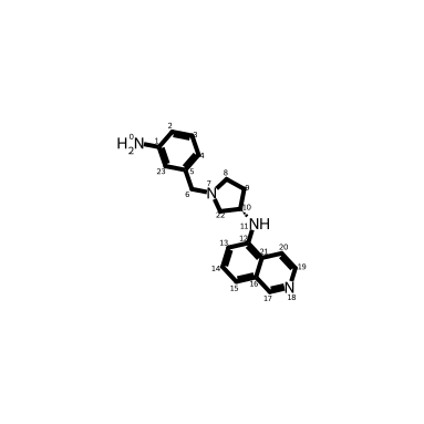 Nc1cccc(CN2CC[C@H](Nc3cccc4cnccc34)C2)c1